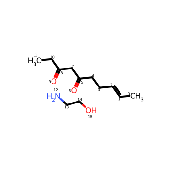 CC=CCCC(=O)CC(=O)CC.NCCO